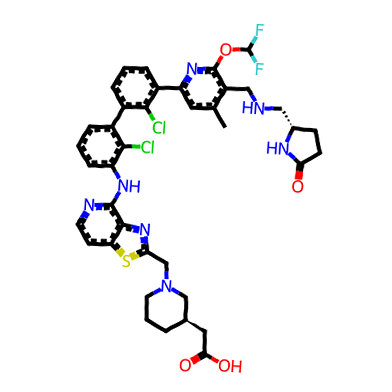 Cc1cc(-c2cccc(-c3cccc(Nc4nccc5sc(CN6CCC[C@H](CC(=O)O)C6)nc45)c3Cl)c2Cl)nc(OC(F)F)c1CNC[C@@H]1CCC(=O)N1